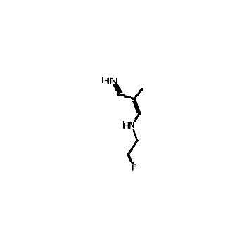 C/C(C=N)=C/NCCF